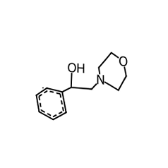 OC(CN1CCOCC1)c1[c]cccc1